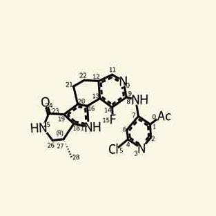 CC(=O)c1cnc(Cl)cc1Nc1ncc2c(c1F)-c1[nH]c3c(c1CC2)C(=O)NC[C@H]3C